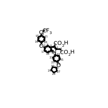 O=C(O)Cc1c(C(=O)O)c2cc(Oc3ccc(OC(F)(F)F)cc3)ccc2n1-c1ccc(OC2CCCC2)cc1